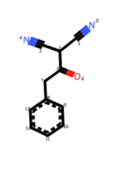 N#CC(C#N)C(=O)Cc1ccccc1